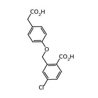 O=C(O)Cc1ccc(OCc2cc(Cl)ccc2C(=O)O)cc1